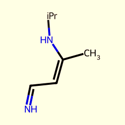 C/C(=C/C=N)NC(C)C